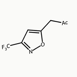 CC(=O)Cc1cc(C(F)(F)F)no1